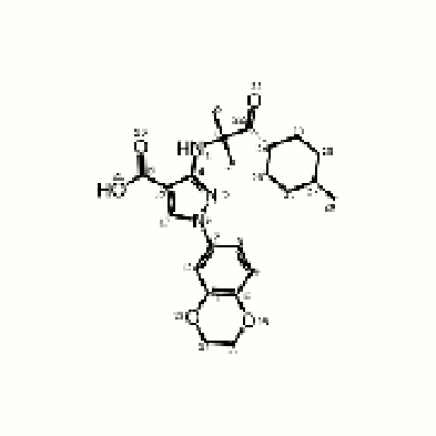 CC(C)(Nc1nn(-c2ccc3c(c2)OCCO3)cc1C(=O)O)C(=O)[C@H]1CC[C@H](C)CC1